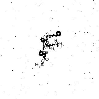 CCOC(=O)c1cc(=O)c2c(OCC(COc3cccc4oc(C(=O)OCCCCc5ccccc5)cc(=O)c34)OC(=O)[C@@H](N)CCCCNC(C)=N)cccc2o1